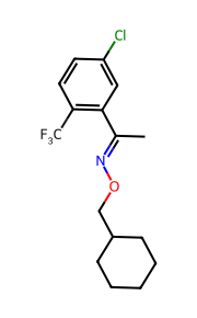 C/C(=N\OCC1CCCCC1)c1cc(Cl)ccc1C(F)(F)F